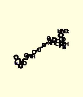 CCNc1cc2c(cc1C)C(c1ccc(C(=O)NCCOCCOCCOCCNC(=O)CCC(=O)N3CC4=CCCC=C4/C=C\c4ccccc43)cc1C(=O)O)C1C=C(C)/C(=N\C)C=C1O2